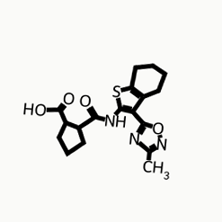 Cc1noc(-c2c(NC(=O)C3CCCC3C(=O)O)sc3c2CCCC3)n1